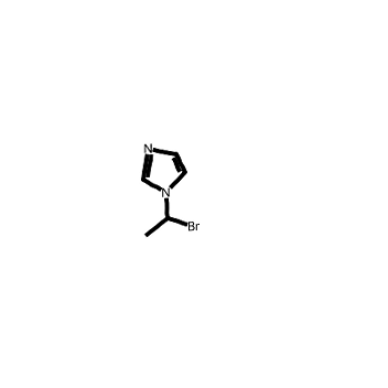 CC(Br)n1ccnc1